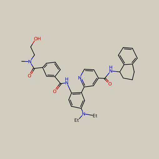 CCN(CC)c1ccc(NC(=O)c2cccc(C(=O)N(C)CCO)c2)c(-c2cc(C(=O)NC3CCCc4ccccc43)ccn2)c1